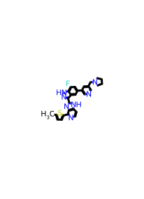 Cc1ccc(-c2nccc3[nH]c(-c4n[nH]c5c(F)cc(-c6cncc(CN7CCCC7)c6)cc45)nc23)s1